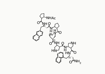 CC(=O)NC1CCCC1C(=O)N[C@H](CC(=O)NC1CCCC1C(=O)NC[C@H](CC(C)C)C(=O)NC1CNCC1C(=O)NC1CNCC1C(=O)N[C@H](CC(N)=O)Cc1cccc2ccccc12)Cc1ccc2ccccc2c1